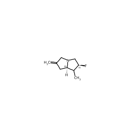 C=C1C[C@@H]2C(C)[C@H](F)CN2C1